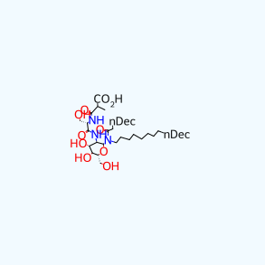 CCCCCCCCCCCCCCCCCCN(C(=O)CCCCCCCCCCC)[C@@H]1O[C@H](CO)[C@@H](O)[C@H](O)[C@H]1NC(=O)[C@H](CO)NC(=O)C(C)C(=O)O